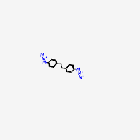 [N-]=[N+]=Nc1ccc(CCc2ccc(N=[N+]=[N-])cc2)cc1